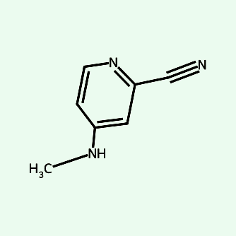 CNc1ccnc(C#N)c1